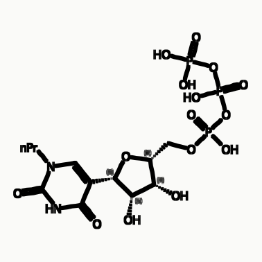 CCCn1cc([C@@H]2O[C@H](COP(=O)(O)OP(=O)(O)OP(=O)(O)O)[C@H](O)[C@@H]2O)c(=O)[nH]c1=O